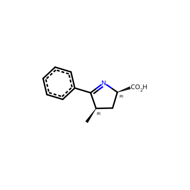 C[C@@H]1C[C@H](C(=O)O)N=C1c1ccccc1